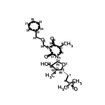 Cc1cn([C@@H]2O[C@H](CCP(C)(C)=O)[C@@H](C)[C@H]2O)c(=O)n(COCc2ccccc2)c1=O